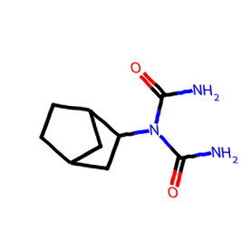 NC(=O)N(C(N)=O)C1CC2CCC1C2